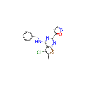 Cc1sc2nc(-c3ccno3)nc(NCc3ccccc3)c2c1Cl